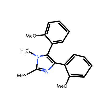 COc1ccccc1-c1nc(SC)n(C)c1-c1ccccc1OC